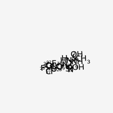 CC(CO)NC(=N)c1c(O)nsc1Nc1ccc(Oc2c(F)ccc(F)c2Cl)cc1